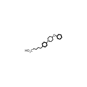 O=C(O)CCCCc1ccc(N2CCC(Oc3ccccc3)CC2)cc1